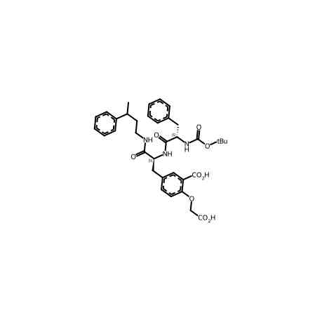 CC(CCNC(=O)[C@H](Cc1ccc(OCC(=O)O)c(C(=O)O)c1)NC(=O)[C@H](Cc1ccccc1)NC(=O)OC(C)(C)C)c1ccccc1